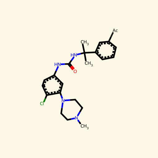 CC(=O)c1cccc(C(C)(C)NC(=O)Nc2ccc(Cl)c(N3CCN(C)CC3)c2)c1